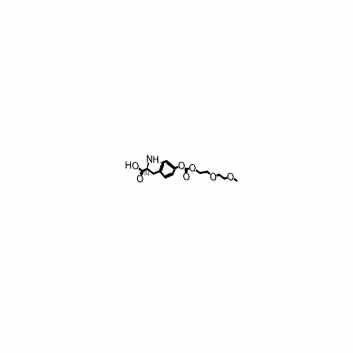 COCCOCCOC(=O)Oc1ccc(C[C@H](N)C(=O)O)cc1